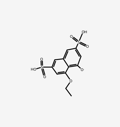 CCOc1cc(S(=O)(=O)O)cc2cc(S(=O)(=O)O)cc([O])c12